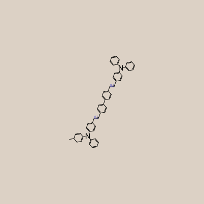 CC1C=CC(N(c2ccccc2)c2ccc(/C=C/c3ccc(-c4ccc(/C=C/c5ccc(N(c6ccccc6)c6ccccc6)cc5)cc4)cc3)cc2)=CC1